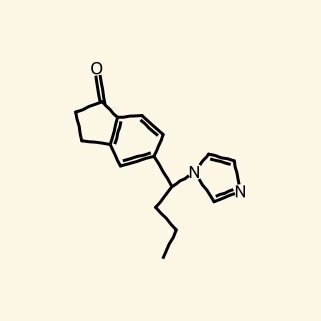 CCCC(c1ccc2c(c1)CCC2=O)n1ccnc1